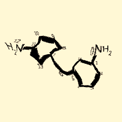 Nc1[c]ccc(Cc2cccc(N)c2)c1